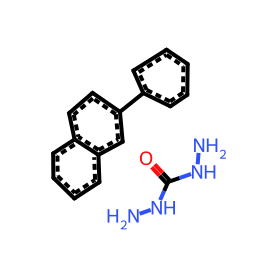 NNC(=O)NN.c1ccc(-c2ccc3ccccc3c2)cc1